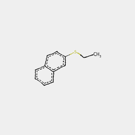 CCSc1ccc2[c]cccc2c1